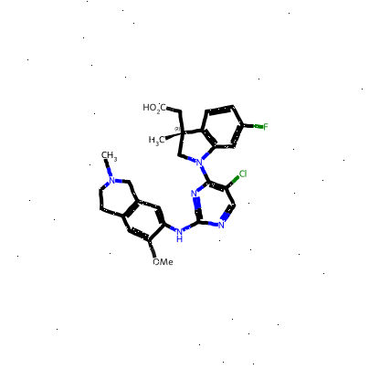 COc1cc2c(cc1Nc1ncc(Cl)c(N3C[C@](C)(CC(=O)O)c4ccc(F)cc43)n1)CN(C)CC2